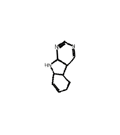 C1=CC2NC3N=CN=CC3C2CC1